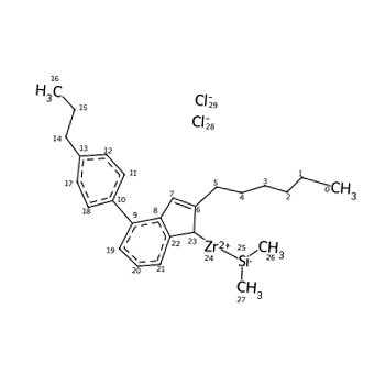 CCCCCCC1=Cc2c(-c3ccc(CCC)cc3)cccc2[CH]1[Zr+2][Si](C)C.[Cl-].[Cl-]